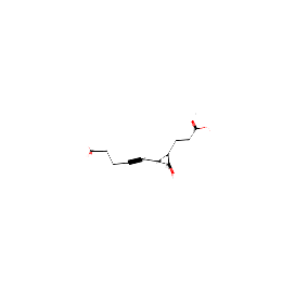 O=C(O)CCC#CC1C(=O)C1CCC(=O)O